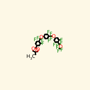 CCC12COC(c3cc(F)c(C(F)(F)Oc4cc(F)c(C(F)(F)Oc5cc(F)c(C(F)(F)OC(F)(F)F)c(F)c5)c(F)c4)c(F)c3)(OC1)O2